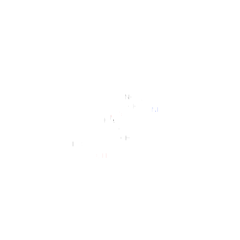 Cc1cc(C)c(C(C)(C)CC(O)(Cc2[nH]c3ccccc3c2C#N)C(F)(F)F)cc1O